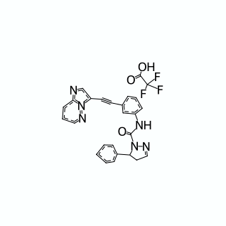 O=C(Nc1cccc(C#Cc2cnc3cccnn23)c1)N1N=CCC1c1ccccc1.O=C(O)C(F)(F)F